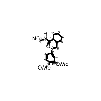 COc1ccc(SCC2CCCCC2C(=O)NCC#N)cc1OC